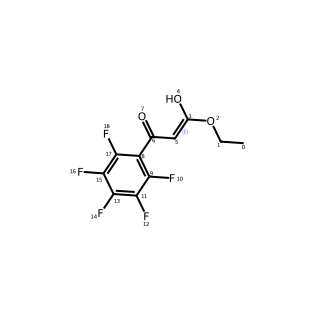 CCO/C(O)=C/C(=O)c1c(F)c(F)c(F)c(F)c1F